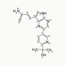 CC(C)(O)c1ccc(-c2cnc3[nH]cc(C=CC(N)=O)c3n2)cn1